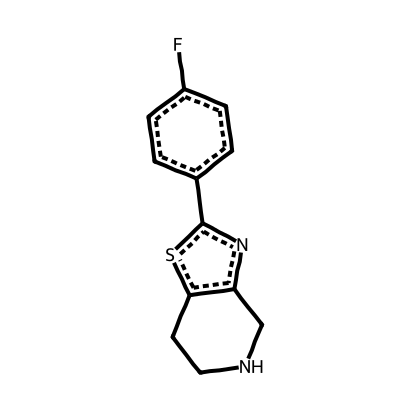 Fc1ccc(-c2nc3c(s2)CCNC3)cc1